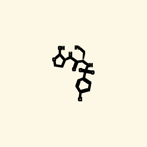 CC(C)C[C@H](NS(=O)(=O)c1ccc(Cl)cc1)C(=O)N[C@H]1CCOC1O